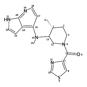 C[C@@H]1CCN(C(=O)c2cscn2)CC1N(C)c1ccnc2[nH]ccc12